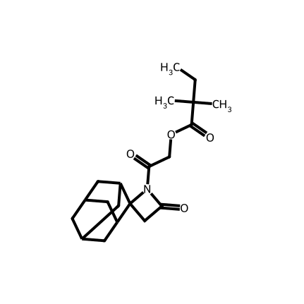 CCC(C)(C)C(=O)OCC(=O)N1C(=O)CC12C1CC3CC(C1)CC2C3